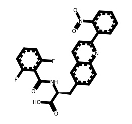 O=C(N[C@@H](Cc1ccc2nc(-c3ccccc3[N+](=O)[O-])ccc2c1)C(=O)O)c1c(F)cccc1F